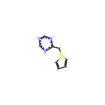 C1=C[SH](Cc2ncncn2)C=C1